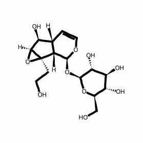 OCC[C@]12O[C@H]1[C@@H](O)[C@@H]1C=CO[C@@H](O[C@@H]3O[C@H](CO)[C@@H](O)[C@H](O)[C@H]3O)[C@@H]12